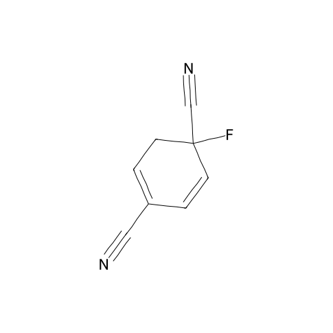 N#CC1=CCC(F)(C#N)C=C1